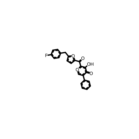 O=C(c1ccc(Cc2ccc(F)cc2)o1)c1occ(-c2ccccc2)c(=O)c1O